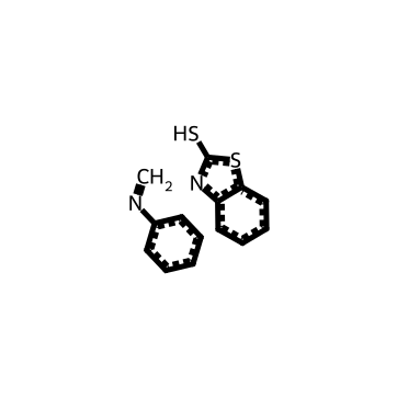 C=Nc1ccccc1.Sc1nc2ccccc2s1